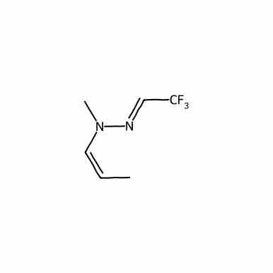 C/C=C\N(C)/N=C/C(F)(F)F